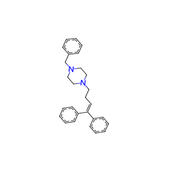 C(CCN1CCN(Cc2ccccc2)CC1)=C(c1ccccc1)c1ccccc1